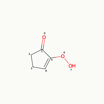 O=C1CCC=C1OO